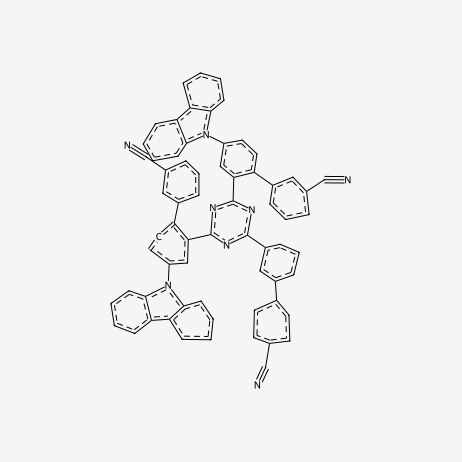 N#Cc1ccc(-c2cccc(-c3nc(-c4cc(-n5c6ccccc6c6ccccc65)ccc4-c4cccc(C#N)c4)nc(-c4cc(-n5c6ccccc6c6ccccc65)ccc4-c4cccc(C#N)c4)n3)c2)cc1